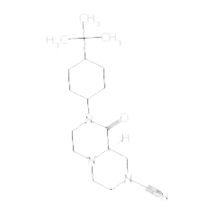 CC(C)(C)C1CCC(N2CCN3CCN(C#N)C[C@@H]3C2=O)CC1